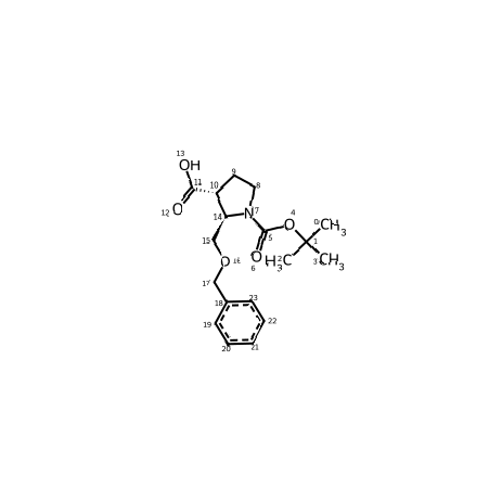 CC(C)(C)OC(=O)N1CC[C@@H](C(=O)O)[C@@H]1COCc1ccccc1